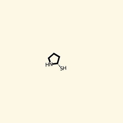 S[C@H]1CCCN1